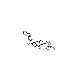 COc1ccc2c(c1CC1CCN(C(=O)OC(C)(C)C)CC1)O/C(=C\c1n[nH]c3ccccc13)C2=O